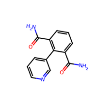 NC(=O)c1cccc(C(N)=O)c1-c1cccnc1